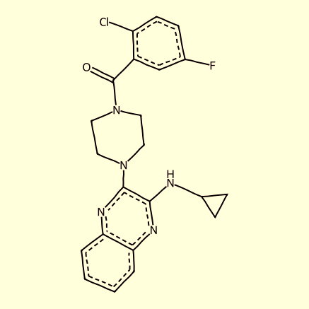 O=C(c1cc(F)ccc1Cl)N1CCN(c2nc3ccccc3nc2NC2CC2)CC1